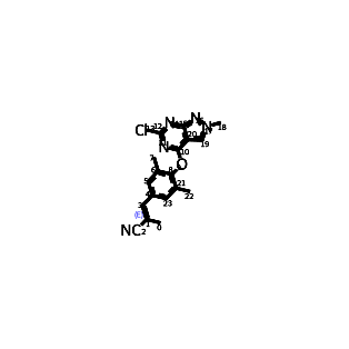 C/C(C#N)=C\c1cc(C)c(Oc2nc(Cl)nc3nn(C)cc23)c(C)c1